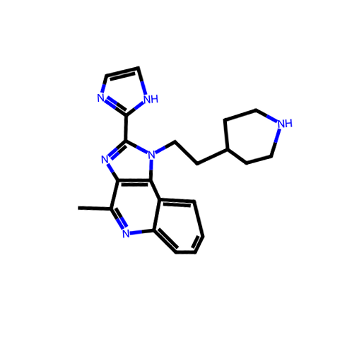 Cc1nc2ccccc2c2c1nc(-c1ncc[nH]1)n2CCC1CCNCC1